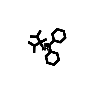 C1CCC(NC2CCCCC2)CC1.CC(C)C(C)(N)C(C)C